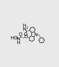 NC(=O)c1cccc2c1c1c(OCC(=O)NO)cccc1n2Cc1ccccc1